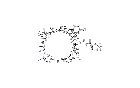 C/C=C(\C)[C@H]1OC(=O)[C@@H](C)NC(=O)[C@H]([C@H](C)CC)NC(=O)CN(C)C(=O)[C@@H](Cc2ccc(Cl)cc2)N(C)C(=O)[C@H](CCCCNC(=O)OC(C)(C)C)NC(=O)[C@@H](CC(C)C)OC(=O)/C(C)=C/CC[C@@H]1C